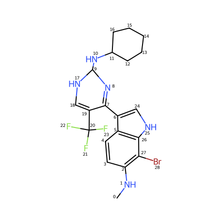 CNc1ccc2c(C3=NC(NC4CCCCC4)NC=C3C(F)(F)F)c[nH]c2c1Br